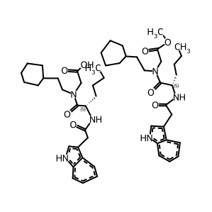 CCCC[C@H](NC(=O)Cc1c[nH]c2ccccc12)C(=O)N(CCC1CCCCC1)CC(=O)O.CCCC[C@H](NC(=O)Cc1c[nH]c2ccccc12)C(=O)N(CCC1CCCCC1)CC(=O)OC